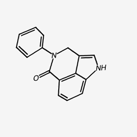 O=C1c2cccc3[nH]cc(c23)CN1c1ccccc1